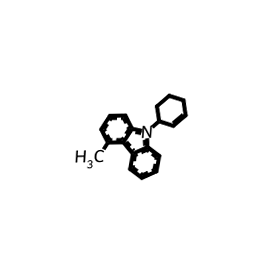 Cc1cccc2c1c1ccccc1n2C1C=CCCC1